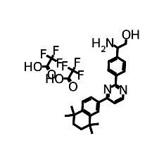 CC1(C)CCC(C)(C)c2cc(-c3ccnc(-c4ccc(C(N)CO)cc4)n3)ccc21.O=C(O)C(F)(F)F.O=C(O)C(F)(F)F